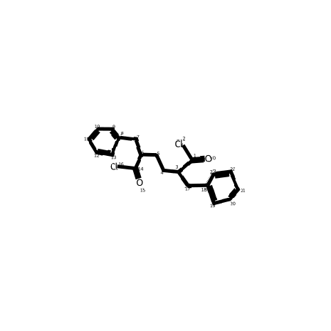 O=C(Cl)C(CCC(Cc1ccccc1)C(=O)Cl)Cc1ccccc1